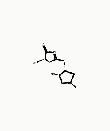 CC(C)[C@@H]1SC(C[C@@H]2C[C@@H](C)C[C@H]2C)=NC1=O